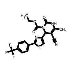 CCOC(=O)N1C(=O)NC(C)=C(C#N)C1c1csc(-c2ccc(C(F)(F)F)cc2)n1